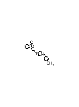 Cc1ccc(CN2CCN(CCCC3OC(=O)c4ccccc43)CC2)cc1